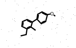 CCc1cccc(-c2ccc(OC)cc2)c1C